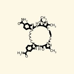 CCn1nc(C)c2c1C(=O)Nc1nc3cc(C(N)=O)ccc3n1CCCCn1c(nc3cc(C(N)=O)ccc31)NC(=O)c1cc(C)nn1CCC=CC2